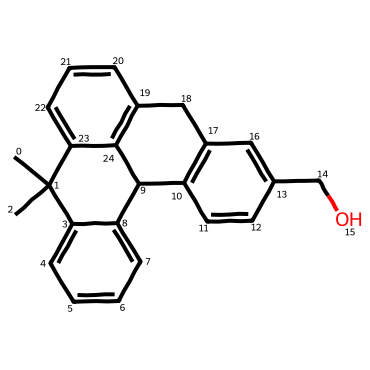 CC1(C)c2ccccc2C2c3ccc(CO)cc3Cc3cccc1c32